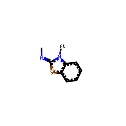 CCn1c(=NC)sc2ccccc21